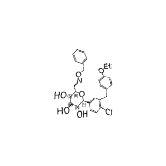 CCOc1ccc(Cc2cc([C@@H]3O[C@H](C=NOCc4ccccc4)[C@@H](O)[C@H](O)[C@H]3O)ccc2Cl)cc1